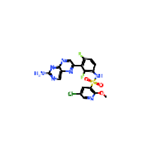 COc1ncc(Cl)cc1S(=O)(=O)Nc1ccc(F)c(-c2cnc3nc(N)ncc3n2)c1F